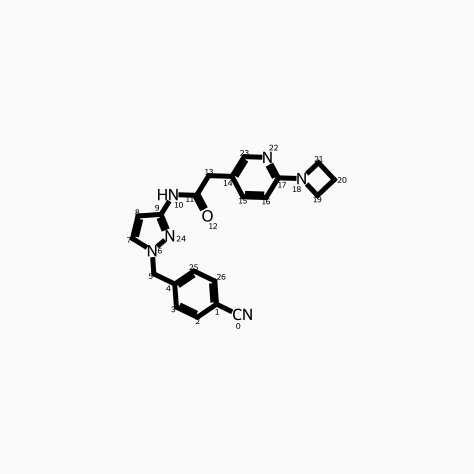 N#Cc1ccc(Cn2ccc(NC(=O)Cc3ccc(N4CCC4)nc3)n2)cc1